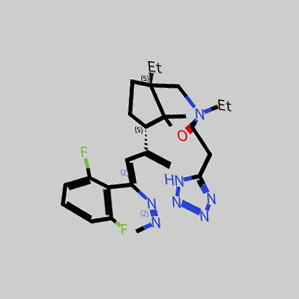 C=C(/C=C(\N=N/C)c1c(F)cccc1F)[C@@H]1CC[C@](CC)(CN(CC)C(=O)Cc2nnn[nH]2)C1(C)C